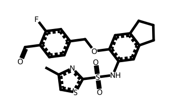 Cc1csc(S(=O)(=O)Nc2cc3c(cc2OCc2ccc(C=O)c(F)c2)CCC3)n1